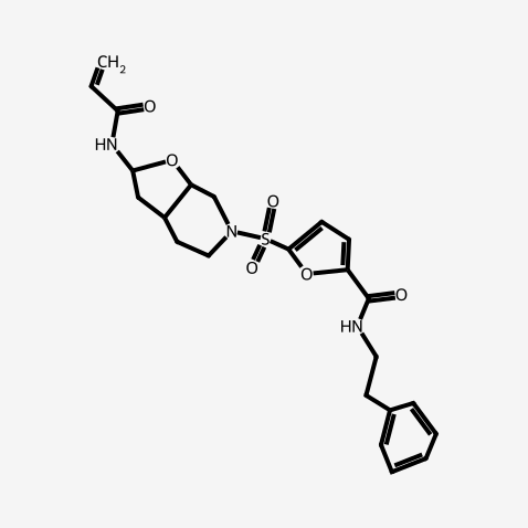 C=CC(=O)NC1CC2CCN(S(=O)(=O)c3ccc(C(=O)NCCc4ccccc4)o3)CC2O1